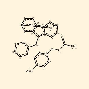 COc1ccc(COC(N)=O)cc1.c1ccc(Cn2c3ccc4cc3c3ccc(cc32)[nH]4)cc1